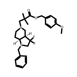 COc1ccc(COC(=O)C(C)(C)CN2CC[C@H]3[C@@H](C2)C(F)(F)CN3Cc2ccccc2)cc1